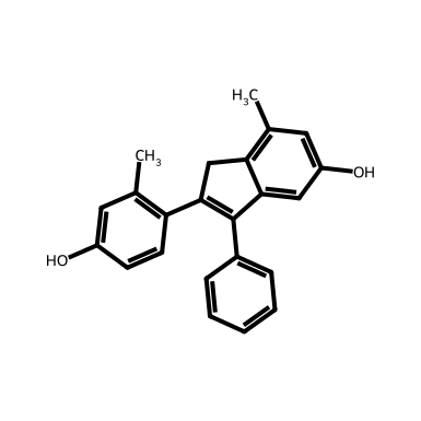 Cc1cc(O)ccc1C1=C(c2ccccc2)c2cc(O)cc(C)c2C1